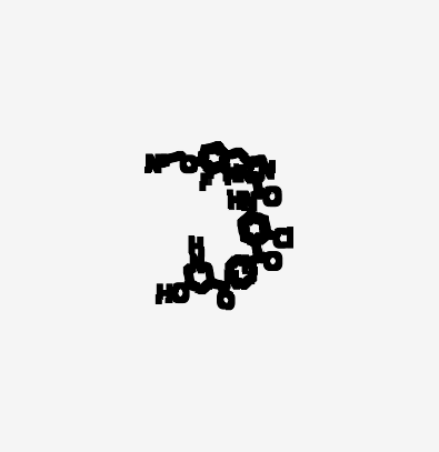 N#CCOc1ccc(Cc2cnc(C(=O)Nc3ccc(C(=O)N4CCN(C(=O)C5CNCC(O)C5)CC4)c(Cl)c3)[nH]2)c(F)c1F